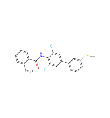 CCSc1cccc(-c2cc(F)c(NC(=O)c3ccccc3C(=O)O)c(F)c2)c1